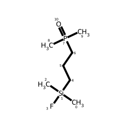 C[Si](C)(F)CCCP(C)(C)=O